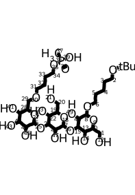 CC(C)(C)OCCCCCOC1OC(CO)C(O)C(OC2OC(CO)C(O)C(OC3OC(COCCCCOP(C)(=O)O)C(O)C(O)C3O)C2O)C1O